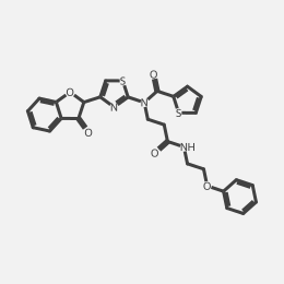 O=C(CCN(C(=O)c1cccs1)c1nc(C2Oc3ccccc3C2=O)cs1)NCCOc1ccccc1